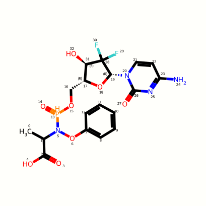 CC(C(=O)O)N(Oc1ccccc1)[PH](=O)OC[C@H]1O[C@@H](n2ccc(N)nc2=O)C(F)(F)[C@@H]1O